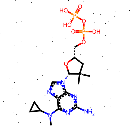 CN(c1nc(N)nc2c1ncn2[C@@H]1O[C@H](COP(=O)(O)OP(=O)(O)O)CC1(C)C)C1CC1